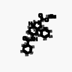 CC(C)(C)OC(=O)N1C[C@@H]2CN=C(NC(=O)c3ccccc3)S[C@@]2(c2ccccn2)C1